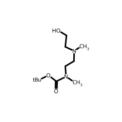 CN(CCO)CCN(C)C(=O)OC(C)(C)C